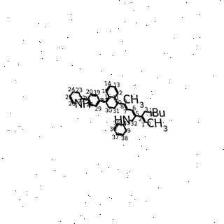 C/C=C(CC(C)CC)/C(=C/C=C(\C)C1=c2ccccc2=C(c2ccc(C3CCC=CN3)cc2)CC1)CNC1C=CC=CC1